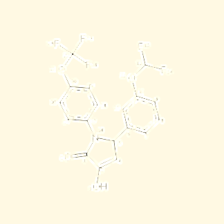 O=C1C(O)=CC(c2cccc(OC(F)F)c2)N1c1ccc(OC(F)(F)F)cc1